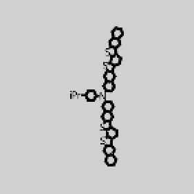 CC(C)c1ccc(N(c2ccc3cc4c(cc3c2)sc2c4ccc3c4cc5ccccc5cc4sc32)c2ccc3cc4c(cc3c2)sc2c4ccc3c4cc5ccccc5cc4sc32)cc1